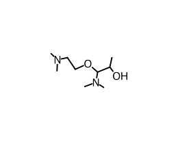 CC(O)C(OCCN(C)C)N(C)C